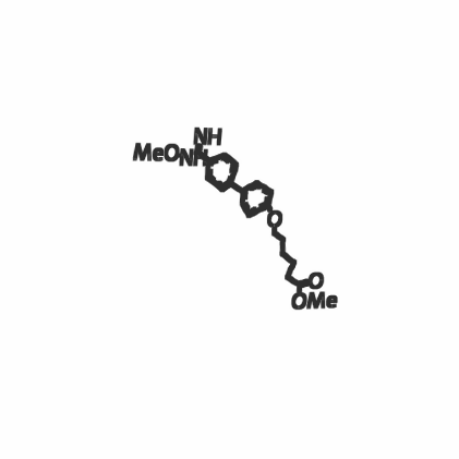 CONC(=N)c1ccc(-c2ccc(OCCCCCC(=O)OC)cc2)cc1